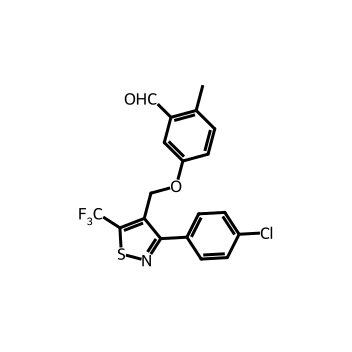 Cc1ccc(OCc2c(-c3ccc(Cl)cc3)nsc2C(F)(F)F)cc1C=O